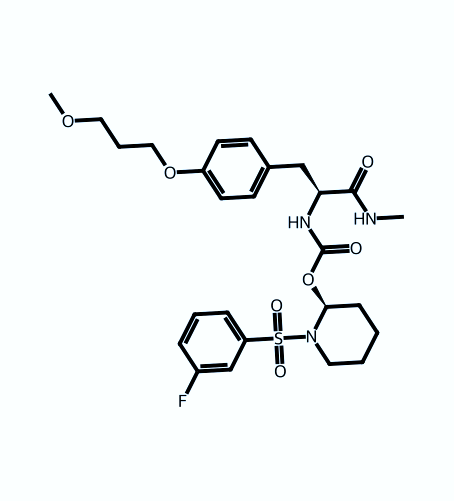 CNC(=O)[C@H](Cc1ccc(OCCCOC)cc1)NC(=O)O[C@H]1CCCCN1S(=O)(=O)c1cccc(F)c1